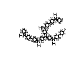 Cc1ccc(-c2ccc(Nc3ccc(N(c4ccc(Nc5ccc(-c6ccc(Nc7ccccc7)cc6)cc5)cc4)c4ccc(Nc5ccc(-c6ccc(Nc7ccccc7)cc6)cc5)cc4)cc3)cc2)cc1